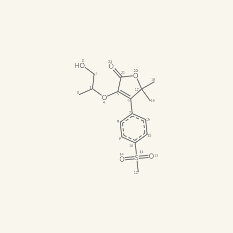 CC(CO)OC1=C(c2ccc(S(C)(=O)=O)cc2)C(C)(C)OC1=O